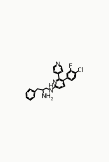 NC(CNc1ccc(-c2ccc(Cl)c(F)c2)c(-c2ccncc2)n1)Cc1ccccc1